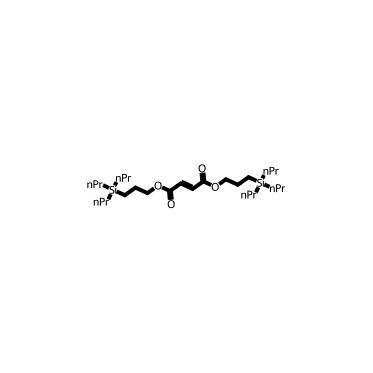 CCC[Si](CCC)(CCC)CCCOC(=O)/C=C/C(=O)OCCC[Si](CCC)(CCC)CCC